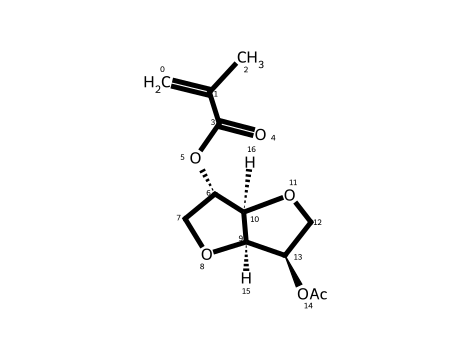 C=C(C)C(=O)O[C@H]1CO[C@H]2[C@@H]1OC[C@H]2OC(C)=O